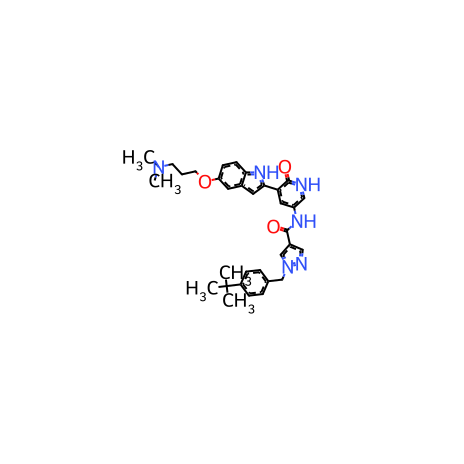 CN(C)CCCOc1ccc2[nH]c(-c3cc(NC(=O)c4cnn(Cc5ccc(C(C)(C)C)cc5)c4)c[nH]c3=O)cc2c1